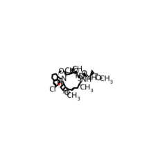 C=C/C1=C\C2=C(C)OC[C@]3(CCCc4cc(Cl)ccc43)CN2C[C@@H]2CC[C@H]2[C@@H](OC)/C=C/C[C@H](C)C[S@@](=O)(NC(=O)N[C@H]2C[C@H]2COC)=NC1=O